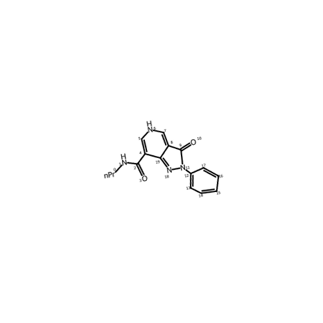 CCCNC(=O)c1c[nH]cc2c(=O)n(-c3ccccc3)nc1-2